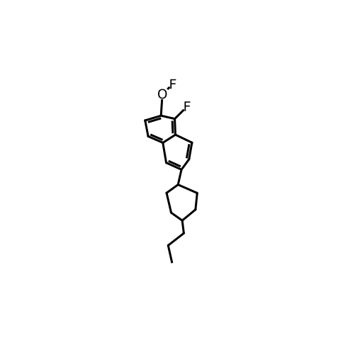 CCCC1CCC(c2ccc3c(F)c(OF)ccc3c2)CC1